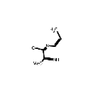 C/C=C\N=C(\Cl)C(=N)OC